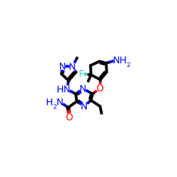 CCc1nc(C(N)=O)c(Nc2cnn(C)c2)nc1OC1=CC(N)=CCC1(C)F